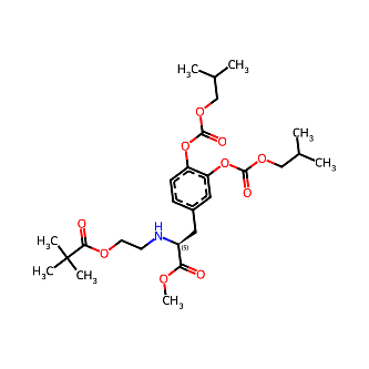 COC(=O)[C@H](Cc1ccc(OC(=O)OCC(C)C)c(OC(=O)OCC(C)C)c1)NCCOC(=O)C(C)(C)C